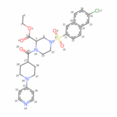 CCOC(=O)C1CN(S(=O)(=O)c2ccc3cc(Cl)ccc3c2)CCN1C(=O)C1CCN(c2ccncc2)CC1